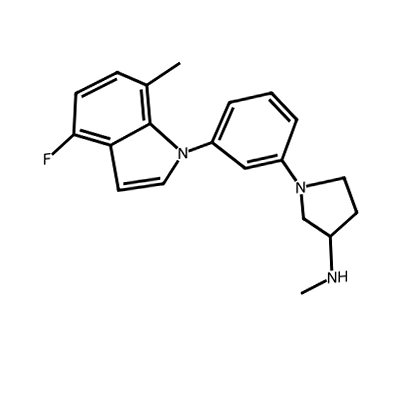 CNC1CCN(c2cccc(-n3ccc4c(F)ccc(C)c43)c2)C1